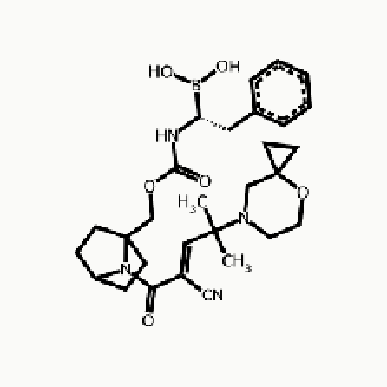 CC(C)(/C=C(\C#N)C(=O)N1C2CCC1(COC(=O)N[C@@H](Cc1ccccc1)B(O)O)CC2)N1CCOC2(CC2)C1